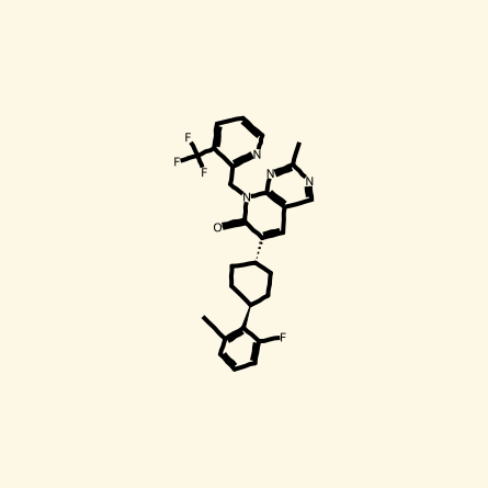 Cc1ncc2cc([C@H]3CC[C@H](c4c(C)cccc4F)CC3)c(=O)n(Cc3ncccc3C(F)(F)F)c2n1